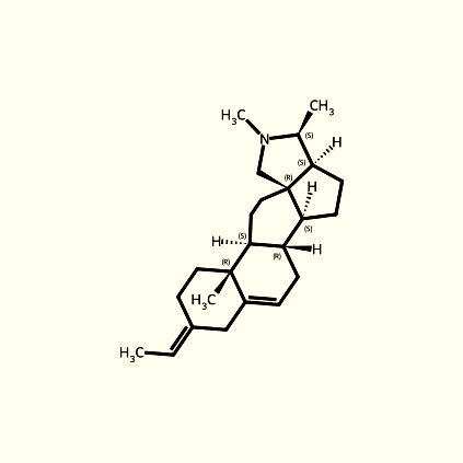 CC=C1CC[C@@]2(C)C(=CC[C@H]3[C@@H]4CC[C@@H]5[C@H](C)N(C)C[C@@]54CC[C@@H]32)C1